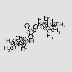 COC(=O)NC(C(=O)N1CC(F)(F)C[C@H]1C(=O)Nc1ccc2c(c1)cc1n2C(c2ccccc2)Oc2cc(NC(=O)[C@@H]3CC(F)(F)CN3C(=O)[C@@H](NC(=O)OC)C(C)C)ccc2-1)C(C)C